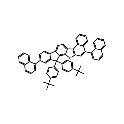 CC(C)(C)c1ccc(C2(c3ccc(C(C)(C)C)cc3)c3cc(-c4cccc5ccccc45)ccc3-c3ccc4c(oc5cc(-c6cccc7ccccc67)c6ccccc6c54)c32)cc1